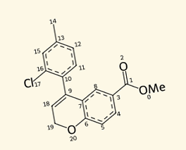 COC(=O)c1ccc2c(c1)C(c1ccc(C)cc1Cl)=CCO2